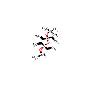 C=C[Si](C=C)(O[SiH2]C)O[Si](C=C)(C=C)O[Si](C)(C)C